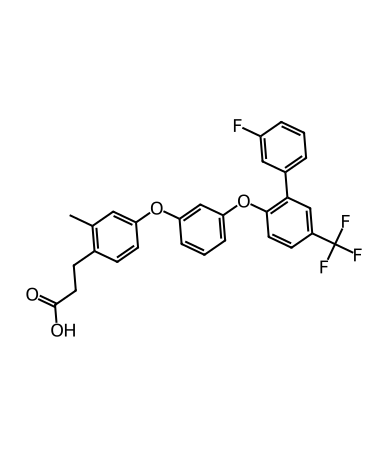 Cc1cc(Oc2cccc(Oc3ccc(C(F)(F)F)cc3-c3cccc(F)c3)c2)ccc1CCC(=O)O